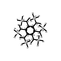 CC(c1c(C(C)[Si](C)(C)C)c(C(C)[Si](C)(C)C)c(C(C)[Si](C)(C)C)c(C(C)[Si](C)(C)C)c1C(C)[Si](C)(C)C)[Si](C)(C)C